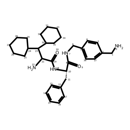 NCc1ccc(CNC(=O)[C@H](Cc2ccccc2)NC(=O)C(N)C(C2CCCCC2)C2CCCCC2)cc1